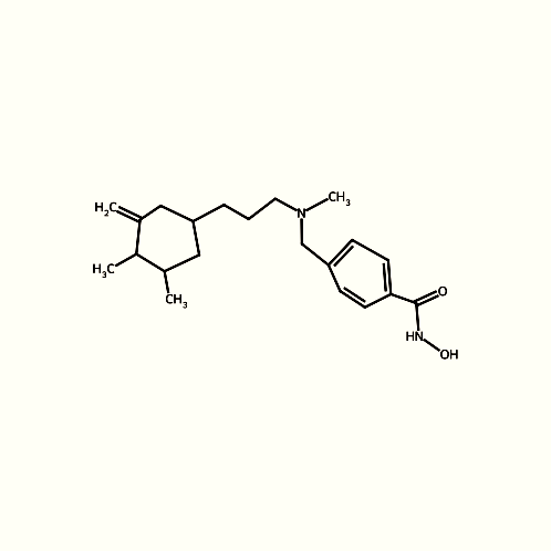 C=C1CC(CCCN(C)Cc2ccc(C(=O)NO)cc2)CC(C)C1C